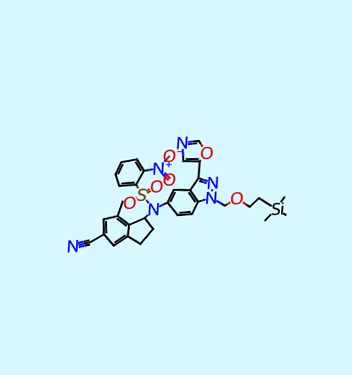 Cc1cc(C#N)cc2c1C(N(c1ccc3c(c1)c(-c1cnco1)nn3COCC[Si](C)(C)C)S(=O)(=O)c1ccccc1[N+](=O)[O-])CC2